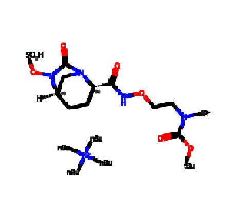 CC(C)N(CCONC(=O)[C@@H]1CC[C@@H]2CN1C(=O)N2OS(=O)(=O)O)C(=O)OC(C)(C)C.CCCC[N+](CCCC)(CCCC)CCCC